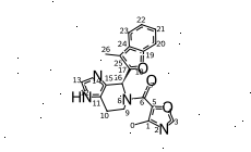 Cc1ncoc1C(=O)N1CCc2[nH]cnc2[C@H]1c1oc2ccccc2c1C